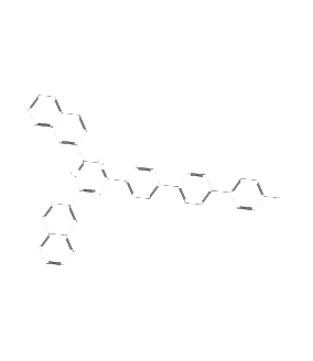 Fc1ccc(-c2ccc(-c3ccc(-c4nc(-c5ccc6ccccc6c5)nc(-c5ccc6ccccc6c5)n4)cc3)cc2)cc1